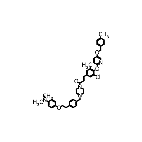 Cc1ccc(COc2ccc(Oc3c(C)cc(/C=C/C(=O)N4CCN(Cc5ccc(CCOc6ccc(N(C)C)cc6)cc5)CC4)cc3Cl)nc2)cc1